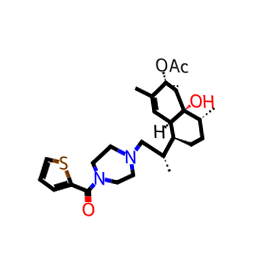 CC(=O)O[C@@H]1[C][C@@]2(O)[C@H](C)CC[C@@H]([C@H](C)CN3CCN(C(=O)c4cccs4)CC3)[C@H]2C=C1C